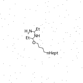 CCCCCCCCCCCOC(CC)NC(N)CC